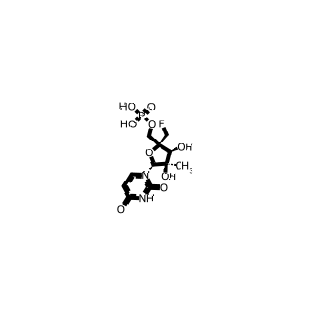 C[C@@]1(O)[C@H](O)[C@@](CF)(COP(=O)(O)O)O[C@H]1n1ccc(=O)[nH]c1=O